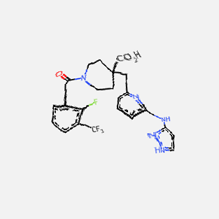 O=C(c1cccc(C(F)(F)F)c1F)N1CCC(Cc2cccc(Nc3cc[nH]n3)n2)(C(=O)O)CC1